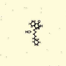 Cl.O=c1[nH]nc(CCCCCN2CCCCC2)c2c1CCCC2